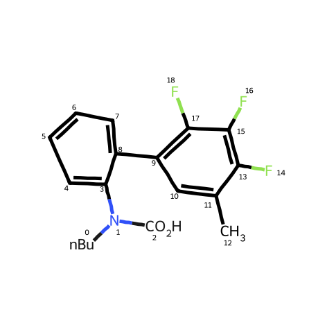 CCCCN(C(=O)O)c1ccccc1-c1cc(C)c(F)c(F)c1F